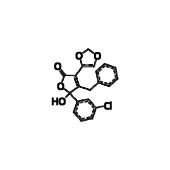 O=C1OC(O)(c2cccc(Cl)c2)C(Cc2ccccc2)=C1C1=COCO1